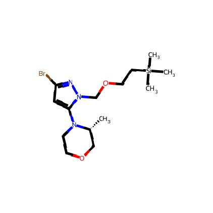 C[C@@H]1COCCN1c1cc(Br)nn1COCC[Si](C)(C)C